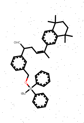 CC(=CCC(C=O)c1cccc(CO[Si](c2ccccc2)(c2ccccc2)C(C)(C)C)c1)c1ccc2c(c1)C(C)(C)CCC2(C)C